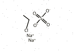 CCCl.O=S(=O)([O-])[O-].[Na+].[Na+]